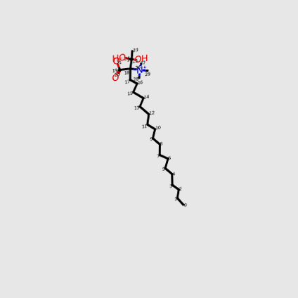 CCCCCCCCCCCCCCCCCCC(C(=O)[O-])(C(C)(O)O)[N+](C)(C)C